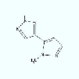 Cn1nccc1-c1cn[nH]c1